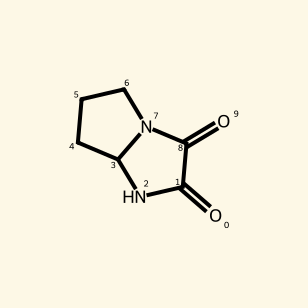 O=C1NC2CCCN2C1=O